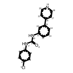 O=C(Nc1ccc(Cl)cc1)Nc1cccc(-c2ccncc2)c1